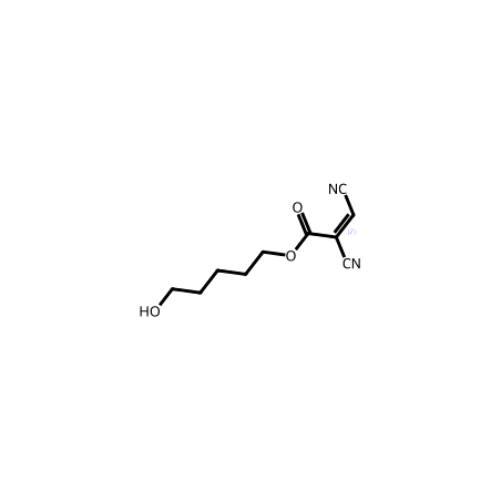 N#C/C=C(/C#N)C(=O)OCCCCCO